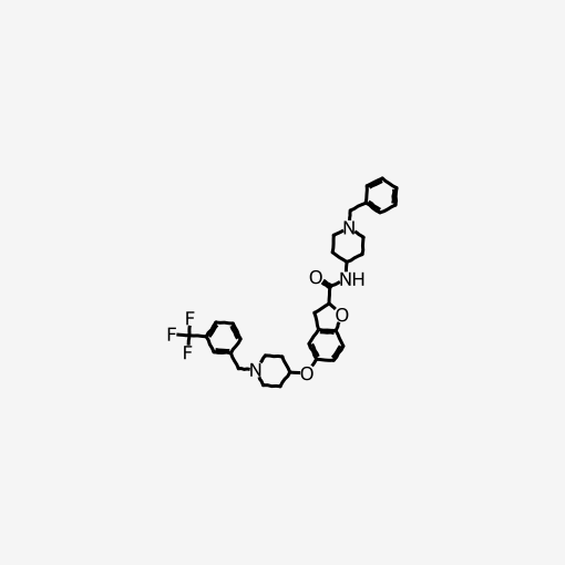 O=C(NC1CCN(Cc2ccccc2)CC1)C1Cc2cc(OC3CCN(Cc4cccc(C(F)(F)F)c4)CC3)ccc2O1